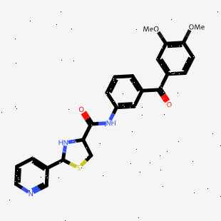 COc1ccc(C(=O)c2cccc(NC(=O)C3CSC(c4cccnc4)N3)c2)cc1OC